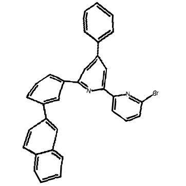 Brc1cccc(-c2cc(-c3ccccc3)cc(-c3cccc(-c4ccc5ccccc5c4)c3)n2)n1